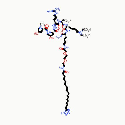 CN1C[C@H](O)C[C@H]1C(=O)N1C[C@H](O)C[C@H]1C(=O)N[C@@H](CCCNC(=N)N)C(=O)N[C@@H](CC(=O)O)C(=O)N[C@@H](CCCCN(CC(=O)O)CC(=O)O)C(=O)N[C@@H](CCCCNC(=O)COCCOCCNC(=O)CCCCCCCCCCCCCCCc1nnn[nH]1)C(N)=O